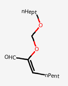 CCCCCC=C(C=O)OCOCCCCCCC